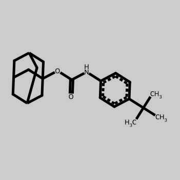 CC(C)(C)c1ccc(NC(=O)OC23CC4CC(CC(C4)C2)C3)cc1